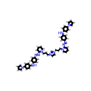 c1cc[n+](CCCn2cc[n+](CCC[n+]3ccccc3/N=N/c3ccc(Nc4ccc(-n5cccc5)cc4)cc3)c2)c(/N=N/c2ccc(Nc3ccc(-n4cccc4)cc3)cc2)c1